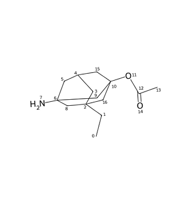 CCC12CC3CC(N)(C1)CC(OC(C)=O)(C3)C2